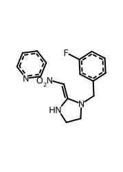 O=[N+]([O-])C=C1NCCN1Cc1cccc(F)c1.c1ccncc1